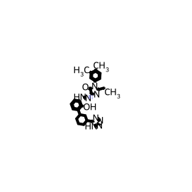 CCC1=N/C(=N/Nc2cccc(C3CCCC(c4nnn[nH]4)C3)c2O)C(=O)N1c1ccc(C)c(C)c1